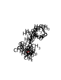 C=C[C@@H]1C[C@]1(NC(=O)[C@@H]1C[C@@H](Oc2ncc(OC)c3ccc(Cl)cc23)CN1C(=O)[C@@H](NC(=O)OC(C)(C)CC1CC1S(=O)(=O)NC(=O)[C@@]1(NC(=O)[C@@H]2CC3CN2C(=O)[C@H](C(C)(C)C)NC(=O)OCC(C)(C)CCCCc2cccc4c2CN(C4)C(=O)O3)CC1CC)C(C)(C)C)C(=O)NS(=O)(=O)C1CC1